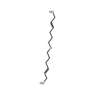 OCC=CCCCOCCCC=CCO